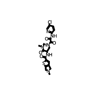 CN1Cc2cc(C(=O)NC(CNC(=O)C(=O)Nc3ccc(Cl)cn3)C(=O)N(C)C)sc2C1